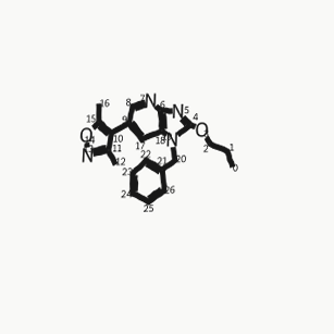 CCCOc1nc2ncc(-c3c(C)noc3C)cc2n1Cc1ccccc1